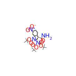 CC(C)(C)OC(=O)N(C(=O)OC(C)(C)C)c1c(C(N)=O)c2ccc([N+](=O)[O-])cc2n1C(=O)OC(C)(C)C